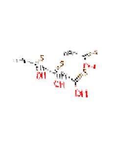 CCCC(O)=S.CCCC(O)=S.CCCC(O)=S.CCCC(O)=S